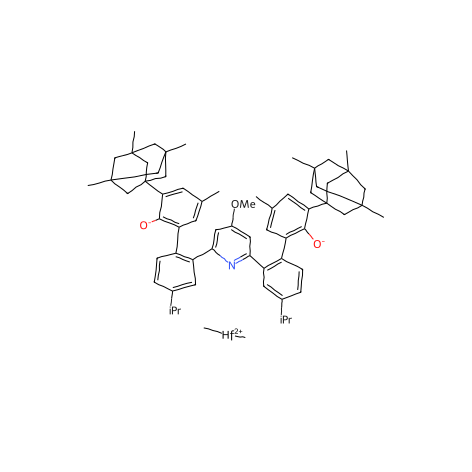 COc1cc(-c2cc(C(C)C)ccc2-c2cc(C)cc(C34CC5(C)CC(C)(CC(C)(C5)C3)C4)c2[O-])nc(-c2cc(C(C)C)ccc2-c2cc(C)cc(C34CC5(C)CC(C)(CC(C)(C5)C3)C4)c2[O-])c1.[CH3][Hf+2][CH3]